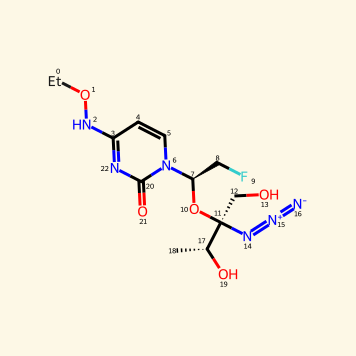 CCONc1ccn([C@@H](CF)O[C@@](CO)(N=[N+]=[N-])[C@@H](C)O)c(=O)n1